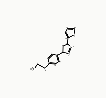 CCOc1ccc(C2CC(c3cccs3)N=N2)cc1